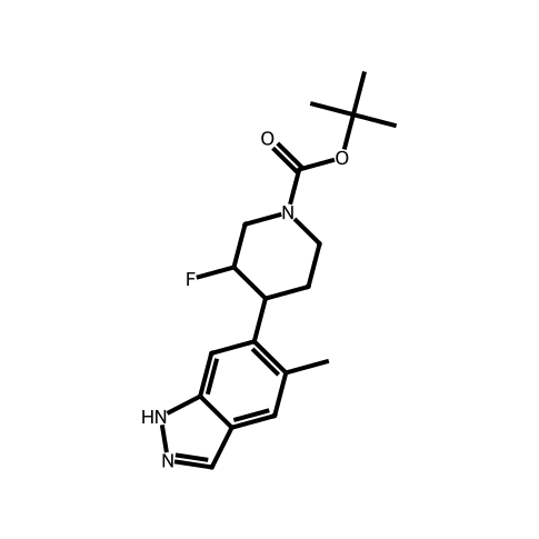 Cc1cc2cn[nH]c2cc1C1CCN(C(=O)OC(C)(C)C)CC1F